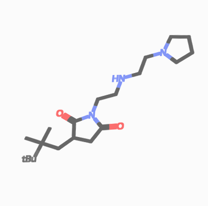 CC(C)(C)C(C)(C)CC1CC(=O)N(CCNCCN2CCCC2)C1=O